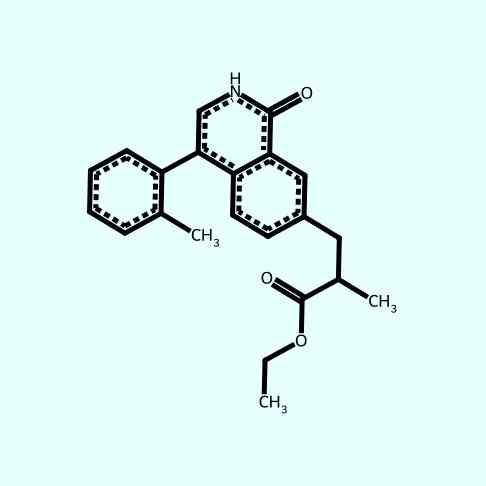 CCOC(=O)C(C)Cc1ccc2c(-c3ccccc3C)c[nH]c(=O)c2c1